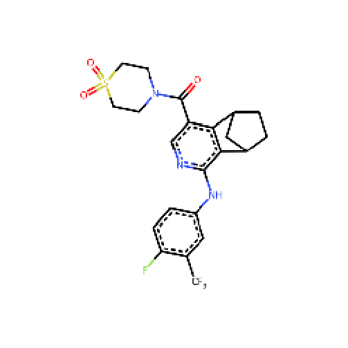 O=C(c1cnc(Nc2ccc(F)c(C(F)(F)F)c2)c2c1C1CCC2C1)N1CCS(=O)(=O)CC1